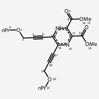 CCCOCC#Cc1nc(C(=O)OC)c(C(=O)OC)nc1C#CCOCCC